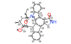 CC[C@]12C[C@H](C)[C@H](OC)[C@@](C)(O1)C1c3ccccc3-c3c4c(c5c6ccccc6n2c5c31)C(=O)NC4